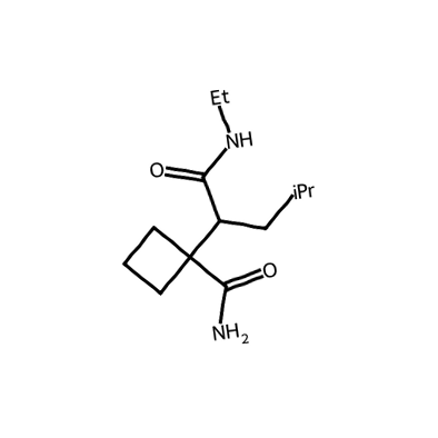 CCNC(=O)C(CC(C)C)C1(C(N)=O)CCC1